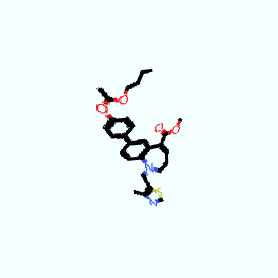 CCCCOC(C)Oc1ccc(-c2ccc3c(c2)C(C(=O)OC)=CCCN3Cc2scnc2C)cc1